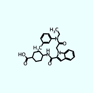 CCN(C(=O)Cn1c(C(=O)NC2CCC(C(=O)O)CC2)cc2ccccc21)c1cccc(C)c1